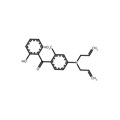 C=CCN(CC=C)c1ccc(C(=O)c2ccccc2O)c(C(=O)O)c1